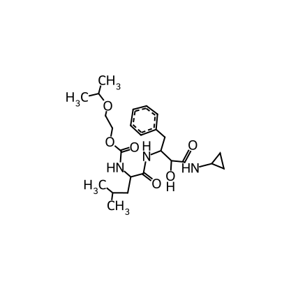 CC(C)CC(NC(=O)OCCOC(C)C)C(=O)NC(Cc1ccccc1)C(O)C(=O)NC1CC1